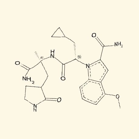 COc1cccc2c1cc(C(N)=O)n2[C@@H](CC1CC1)C(=O)N[C@@](C)(CC1CCNC1=O)C(N)=O